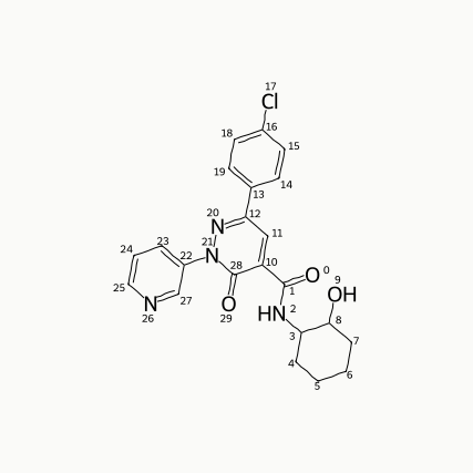 O=C(NC1CCCCC1O)c1cc(-c2ccc(Cl)cc2)nn(-c2cccnc2)c1=O